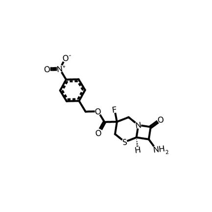 NC1C(=O)N2CC(F)(C(=O)OCc3ccc([N+](=O)[O-])cc3)CS[C@H]12